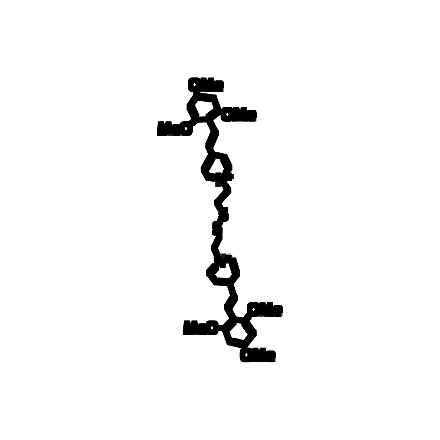 COc1cc(OC)c(/C=C/c2cc[n+](CCSSCC[n+]3ccc(/C=C/c4c(OC)cc(OC)cc4OC)cc3)cc2)c(OC)c1